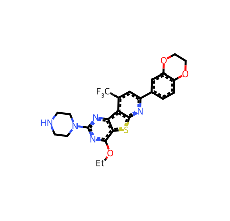 CCOc1nc(N2CCNCC2)nc2c1sc1nc(-c3ccc4c(c3)OCCO4)cc(C(F)(F)F)c12